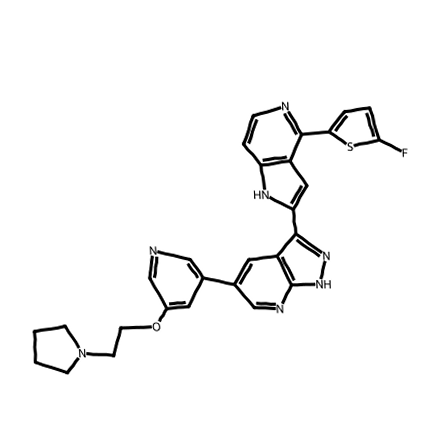 Fc1ccc(-c2nccc3[nH]c(-c4n[nH]c5ncc(-c6cncc(OCCN7CCCC7)c6)cc45)cc23)s1